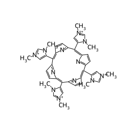 Cn1c[n+](C)cc1C1=C2C=CC(=N2)C(c2c[n+](C)cn2C)=C2C=CC(=N2)C(c2c[n+](C)cn2C)=C2C=CC(=N2)C(c2c[n+](C)cn2C)=C2C=CC1=N2